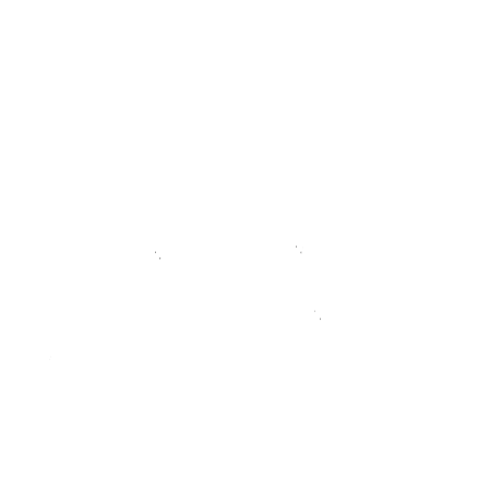 CC/C=C/C=C\c1c(C)n(-c2cccc(-c3nc(-c4ccccc4)cc(-c4ccccc4)n3)c2)c2cc(Br)ccc12